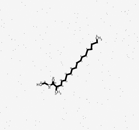 CCCCCCCCCCCCCCCCC(C)C(=O)OCO